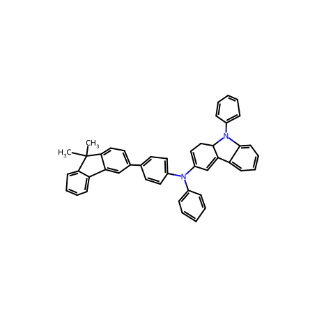 CC1(C)c2ccccc2-c2cc(-c3ccc(N(C4=CCC5C(=C4)c4ccccc4N5c4ccccc4)c4ccccc4)cc3)ccc21